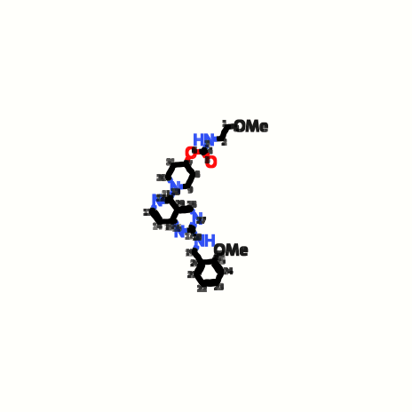 COCCNC(=O)OC1CCN(c2nccc3nc(NCc4ccccc4OC)ncc23)CC1